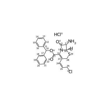 Cl.NC1C(=O)N2C(C(=O)OC(c3ccccc3)c3ccccc3)=C(/C=C\CCl)CS[C@@H]12